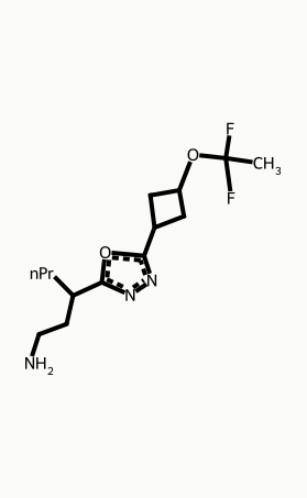 CCCC(CCN)c1nnc(C2CC(OC(C)(F)F)C2)o1